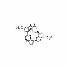 Cc1cc(C)cc(-c2cnc3ccn(-c4ccc(C(=O)O)c(N[C@@H]5CCCNC5)c4)c3n2)c1